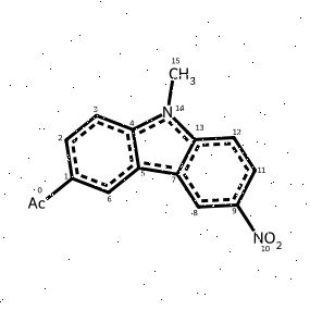 CC(=O)c1ccc2c(c1)c1cc([N+](=O)[O-])ccc1n2C